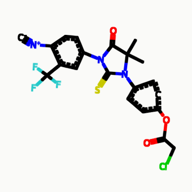 [C-]#[N+]c1ccc(N2C(=O)C(C)(C)N(c3ccc(OC(=O)CCl)cc3)C2=S)cc1C(F)(F)F